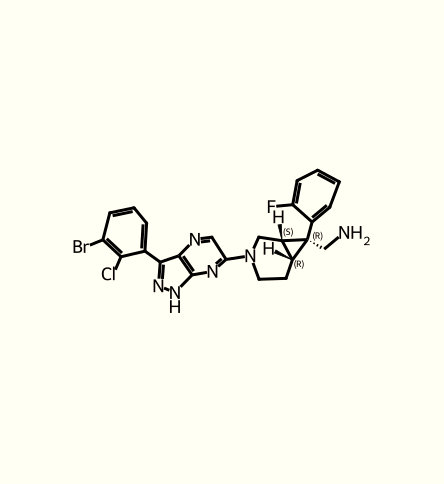 NC[C@]1(c2ccccc2F)[C@@H]2CCN(c3cnc4c(-c5cccc(Br)c5Cl)n[nH]c4n3)C[C@@H]21